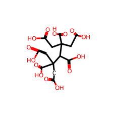 O=C(O)CC(CC(=O)O)(C(=O)O)C(C(=O)O)C(CC(=O)O)(CC(=O)O)C(=O)O